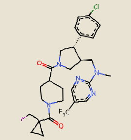 CN(C[C@H]1CN(C(=O)C2CCN(C(=O)C3(CI)CC3)CC2)C[C@@H]1c1ccc(Cl)cc1)c1ncc(C(F)(F)F)cn1